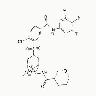 C[C@H]1CC2CC(S(=O)(=O)c3cc(C(=O)Nc4cc(F)c(F)c(F)c4)ccc3Cl)CC1[C@@]2(O)CNC(=O)C1CCCOC1